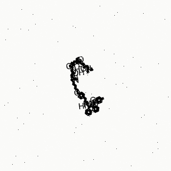 CCN(CC)CC(O)COC(=O)C(C)(CC)CC(C)(C)C(=O)OCC(O)Cn1cc(CCCCOc2ccc(CCCN[C@H](c3ccccc3)C(NS(=O)(=O)c3ccc(C)cc3)c3ccccc3)cc2)nn1